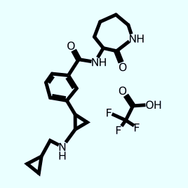 O=C(NC1CCCCNC1=O)c1cccc(C2CC2NCC2CC2)c1.O=C(O)C(F)(F)F